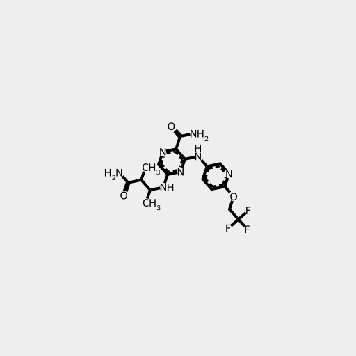 CC(Nc1cnc(C(N)=O)c(Nc2ccc(OCC(F)(F)F)nc2)n1)C(C)C(N)=O